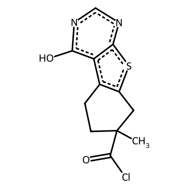 CC1(C(=O)Cl)CCc2c(sc3ncnc(O)c23)C1